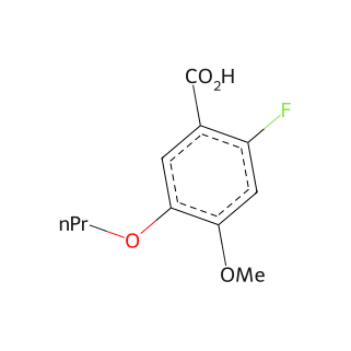 CCCOc1cc(C(=O)O)c(F)cc1OC